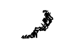 COc1cc(F)c(-n2cnc3c(OC4CCN(c5nc(C(C)C)no5)CC4)ncnc32)cn1